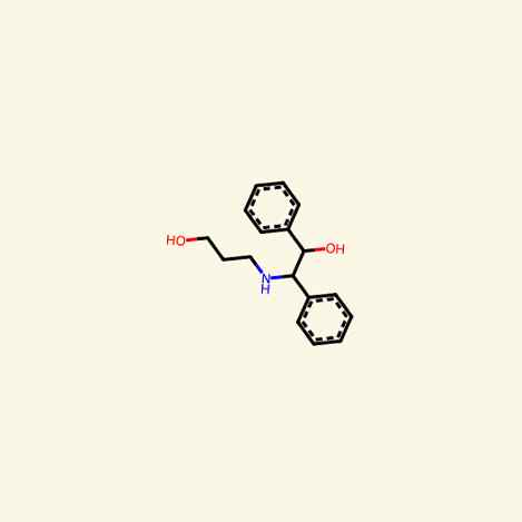 OCCCNC(c1ccccc1)C(O)c1ccccc1